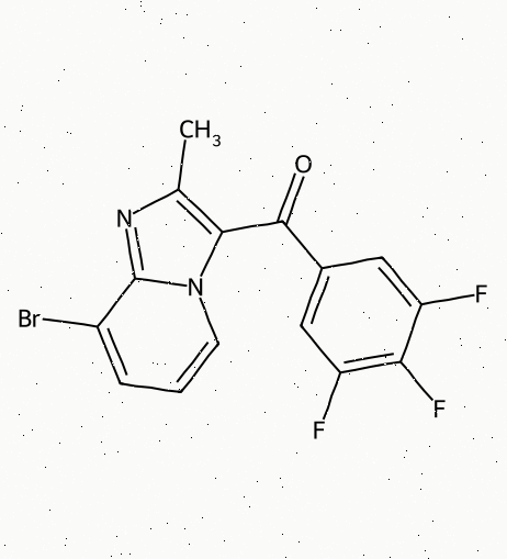 Cc1nc2c(Br)cccn2c1C(=O)c1cc(F)c(F)c(F)c1